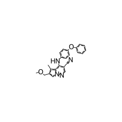 COCc1cn2ncc(C#N)c(Nc3ccc(Oc4ccccc4)cc3)c2c1C